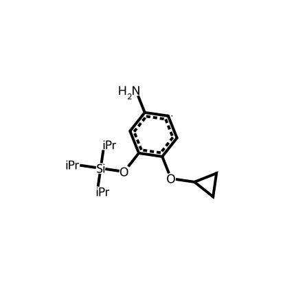 CC(C)[Si](Oc1cc(N)[c]cc1OC1CC1)(C(C)C)C(C)C